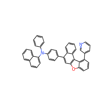 c1ccc(N(c2ccc(-c3cc4oc5cccc(-c6cccnc6)c5c4c4ccccc34)cc2)c2cccc3ccccc23)cc1